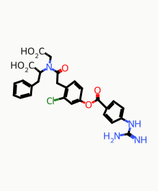 N=C(N)Nc1ccc(C(=O)Oc2ccc(CC(=O)N(CC(=O)O)C(Cc3ccccc3)C(=O)O)c(Cl)c2)cc1